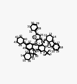 CC(C)(C)C1C=C2C3=C(C1)N(C1CCCC4c5ccccc5OC41)C1CC(C4=CC=CCC4)OC1B3C1C=C(C3CCCCC3)C=C3C1N2C(C)(C)C31CCCCC1